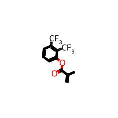 C=C(C)C(=O)Oc1cccc(C(F)(F)F)c1C(F)(F)F